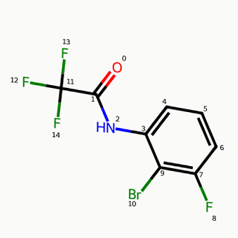 O=C(Nc1cccc(F)c1Br)C(F)(F)F